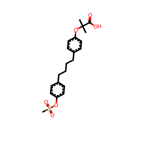 CC(C)(Oc1ccc(CCCCc2ccc(OS(C)(=O)=O)cc2)cc1)C(=O)O